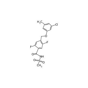 Cc1cc(Cl)cc(OCc2cc(F)c(C(=O)NS(C)(=O)=O)cc2F)c1